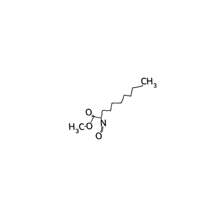 CCCCCCCCCC(N=C=O)C(=O)OC